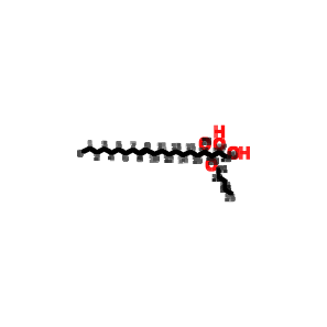 CCCCCCCCC=CCCCCCCCC(=O)C(OCCCCC)C(O)CO